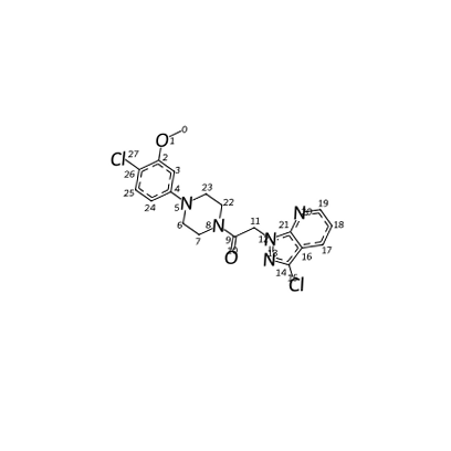 COc1cc(N2CCN(C(=O)Cn3nc(Cl)c4cccnc43)CC2)ccc1Cl